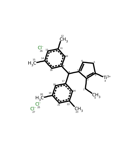 CCC1=[C]([Ti+3])CC=C1C(c1cc(C)cc(C)c1)c1cc(C)cc(C)c1.[Cl-].[Cl-].[Cl-]